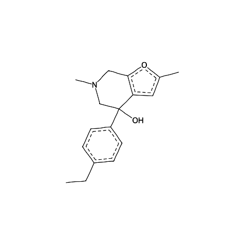 CCc1ccc(C2(O)CN(C)Cc3oc(C)cc32)cc1